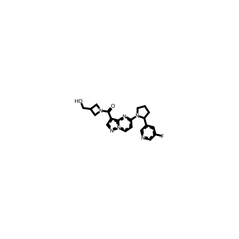 O=C(c1cnn2ccc(N3CCCC3c3cncc(F)c3)nc12)N1CC(CO)C1